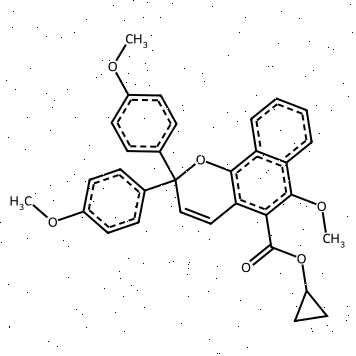 COc1ccc(C2(c3ccc(OC)cc3)C=Cc3c(C(=O)OC4CC4)c(OC)c4ccccc4c3O2)cc1